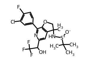 CC1(N[S+]([O-])C(C)(C)C)COc2c1cc(C(O)C(F)(F)F)nc2-c1ccc(F)c(Cl)c1